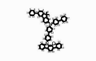 CC1(C)c2ccc(-c3ccccc3)cc2-c2ccc(N(c3ccc(-c4ccccc4)cc3)c3ccc(-c4ccc(-n5c6ccccc6c6ccc7c8ccccc8oc7c65)cc4)cc3)cc21